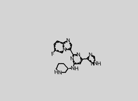 Fc1ccc2ncc(-c3nc(N[C@@H]4CCCNC4)cc(-c4nc[nH]n4)n3)n2c1